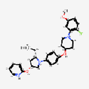 CCOc1ccc(F)c(N2CCC(Oc3ccc(N4C[C@H](Oc5ccccn5)C[C@@H]4CC(=O)O)cc3)CC2)c1